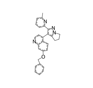 Cc1cccc(-c2nn3c(c2-c2ccnc4cc(OCc5ccccc5)ccc24)CCC3)n1